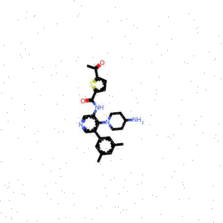 CC(=O)c1ccc(C(=O)Nc2cncc(-c3cc(C)cc(C)c3)c2N2CCC(N)CC2)s1